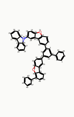 c1ccc(-c2cc(-c3ccc4oc5ccc(-n6c7ccccc7c7ccccc76)cc5c4c3)cc(-c3ccc4oc5c(-c6ccccc6)cccc5c4c3)c2)cc1